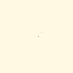 C=CCC1=NCC[N+]1(CCO)C(Cl)(C(=O)O)[N+]1(CCO)CCN=C1CC=C